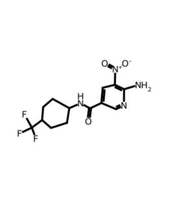 Nc1ncc(C(=O)NC2CCC(C(F)(F)F)CC2)cc1[N+](=O)[O-]